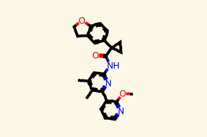 COc1ncccc1-c1nc(NC(=O)C2(c3ccc4c(c3)CCO4)CC2)cc(C)c1C